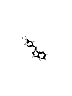 Cc1ncc(Cn2cnc3ncccc32)o1